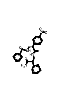 NC(=O)C(CNC(=O)[C@@H](CNC(=O)c1ccccc1)c1ccc([N+](=O)[O-])cc1)c1ccccc1